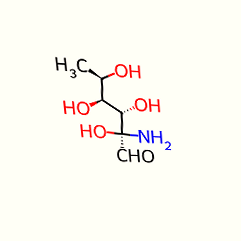 C[C@@H](O)[C@H](O)[C@H](O)[C@@](N)(O)C=O